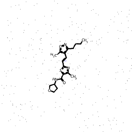 CCCCc1noc(C)c1/C=C/c1nc(C)c(C(=O)NC2CCOC2)s1